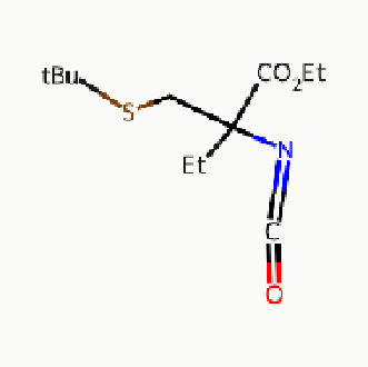 CCOC(=O)C(CC)(CSC(C)(C)C)N=C=O